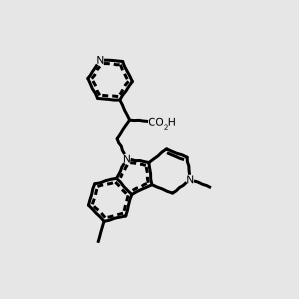 Cc1ccc2c(c1)c1c(n2CC(C(=O)O)c2ccncc2)C=CN(C)C1